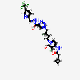 O=C(CC1CCC1)Nc1ccn(CCC(F)Cn2cc(C(=O)NCc3ccc(C(F)(F)F)cn3)nn2)c(=O)c1F